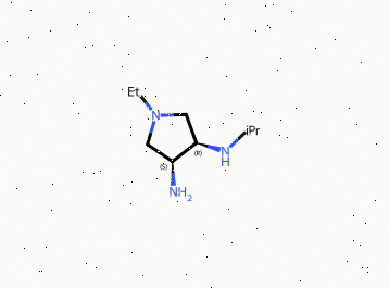 CCN1C[C@H](N)[C@H](NC(C)C)C1